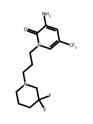 Nc1cc(C(F)(F)F)cn(CCCN2CCCC(F)(F)C2)c1=O